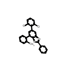 Cc1ccccc1-c1cc(-c2c(Cl)cccc2Cl)cc2oc(-c3ccccc3)nc12